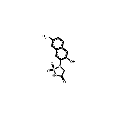 Cc1ccc2cc(O)c(N3CC(=O)NS3(=O)=O)cc2c1